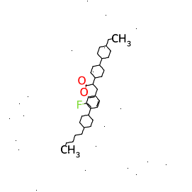 CCCCCC1CCC(c2ccc3c(c2F)OC(=O)C(C2CCC(C4CCC(CC)CC4)CC2)C3)CC1